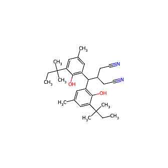 CCC(C)(C)c1cc(C)cc(C(c2cc(C)cc(C(C)(C)CC)c2O)C(CC#N)CC#N)c1O